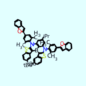 Cc1cc(-c2cc3ccccc3o2)cc(C)c1N1c2cc(C(C)C)cc3c2B(c2c1sc1ccc(C(C)(C)C)cc21)c1c(sc2ccc(C(C)(C)C)cc12)N3c1c(C)cc(-c2cc3ccccc3o2)cc1C